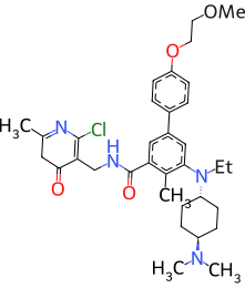 CCN(c1cc(-c2ccc(OCCOC)cc2)cc(C(=O)NCC2=C(Cl)N=C(C)CC2=O)c1C)[C@H]1CC[C@H](N(C)C)CC1